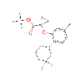 Cc1ccc(C2CCCC(F)(F)C2)c(OC2(C(=O)OC(C)(C)C)CC2)c1